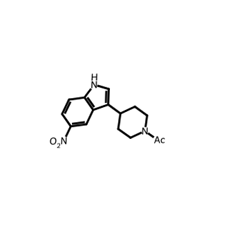 CC(=O)N1CCC(c2c[nH]c3ccc([N+](=O)[O-])cc23)CC1